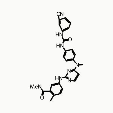 CNC(=O)c1cc(Nc2nccc(N(C)c3ccc(NC(=O)Nc4cccc(C#N)c4)cc3)n2)ccc1C